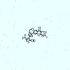 COC[C@H](Nc1ccc2c(c1)OCCn1cc(N3C(=C=O)SC[C@H]3C(F)F)nc1-2)C(N)=O